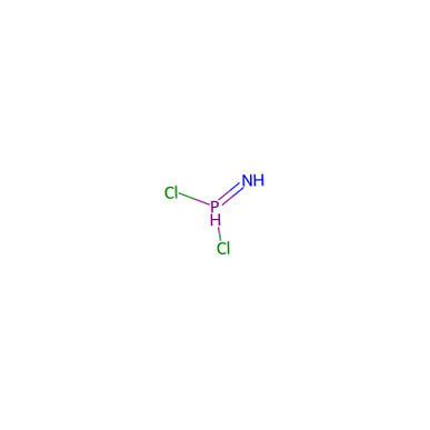 N=[PH](Cl)Cl